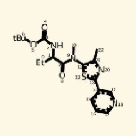 CCC(NC(=O)OC(C)(C)C)C(=O)N(C)c1sc(-c2cccnc2)nc1C